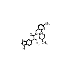 CC1CCN(c2nc(C(C)(C)C)ccc2CNC(=O)C(C)c2ccc3[nH]cnc3c2)CC1